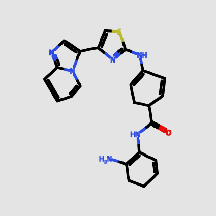 NC1=C(NC(=O)C2C=CC(Nc3nc(-c4cnc5ccccn45)cs3)=CC2)C=CCC1